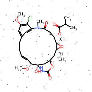 COc1cc2cc(c1Cl)N(C)C(=O)C[C@H](OC(=O)C(C)C)[C@@]1(C)O[C@H]1[C@H](C)[C@@H]1C[C@@](O)(NC(=O)O1)[C@H](OC)/C=C/CC2